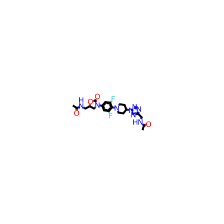 CC(=O)NCc1nnn(C2CCN(c3c(F)cc(N4CC(CNC(C)=O)OC4=O)cc3F)CC2)n1